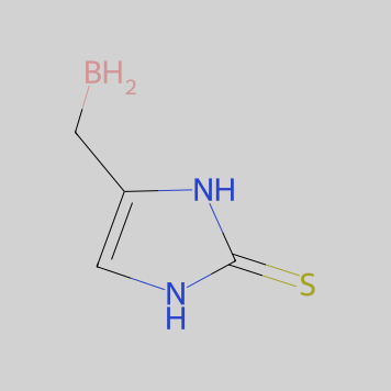 BCc1c[nH]c(=S)[nH]1